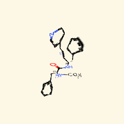 O=C(O)N[C@@H](Cc1ccccc1)C(=O)N[C@H](/C=C/c1ccncc1)Cc1ccccc1